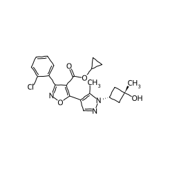 Cc1c(-c2onc(-c3ccccc3Cl)c2C(=O)OC2CC2)cnn1[C@H]1C[C@@](C)(O)C1